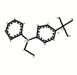 CCN(c1ccccc1)c1ccc(C(C)(C)C)cc1